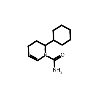 NC(=O)N1C=CCCC1C1CCCCC1